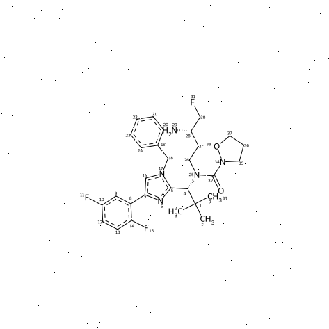 CC(C)(C)[C@H](c1nc(-c2cc(F)ccc2F)cn1Cc1ccccc1)N(CC[C@H](N)CF)C(=O)N1CCCO1